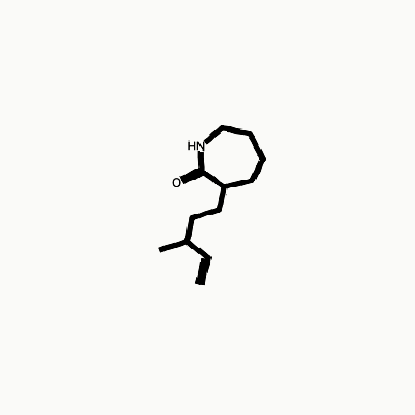 C=CC(C)CCC1CCCCNC1=O